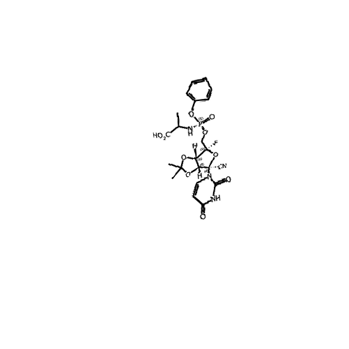 CC(N[P@](=O)(OC[C@@]1(F)O[C@@](C#N)(n2ccc(=O)[nH]c2=O)[C@@H]2OC(C)(C)O[C@@H]21)Oc1ccccc1)C(=O)O